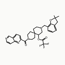 CC1(C)Cc2cccc(CN3CCC4(CCN(C(=O)c5ccc6cnccc6n5)CC4)C(OC(=O)C(F)(F)F)C3)c2O1